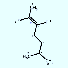 C/C(F)=C(\F)CCC(C)C